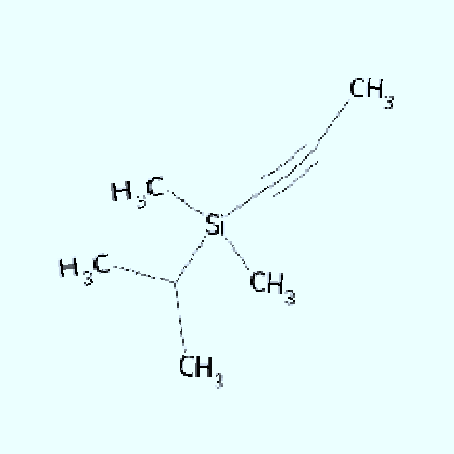 CC#C[Si](C)(C)C(C)C